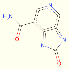 NC(=O)c1cncc2c1=NC(=O)N=2